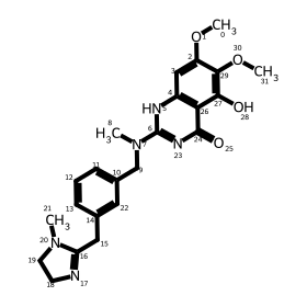 COc1cc2[nH]c(N(C)Cc3cccc(CC4=NCCN4C)c3)nc(=O)c2c(O)c1OC